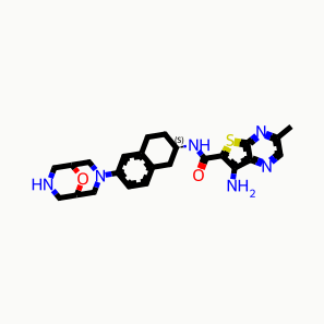 Cc1cnc2c(N)c(C(=O)N[C@H]3CCc4cc(N5CC6CNCC(C5)O6)ccc4C3)sc2n1